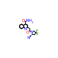 N#C[C@@H]1CC(F)(F)CN1C(=O)Cc1cc(C(N)=O)c2ccccc2n1